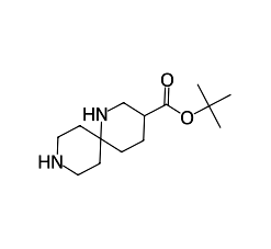 CC(C)(C)OC(=O)C1CCC2(CCNCC2)NC1